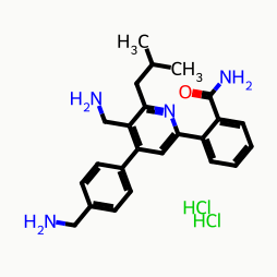 CC(C)Cc1nc(-c2ccccc2C(N)=O)cc(-c2ccc(CN)cc2)c1CN.Cl.Cl